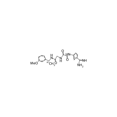 COc1cccc([C@@H](C)NC(=O)CNC(=O)C(=O)Nc2ccc(C(=N)N)s2)c1